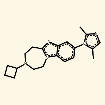 Cc1cnc(C)n1-c1ccc2c(c1)nc1n2CCN(C2CCC2)CC1